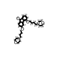 O=C1c2ccc(OCCCCN3CCOCC3)cc2-c2c(OCCCCN3CCOCC3)cccc21